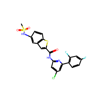 CS(=O)(=O)Nc1ccc2sc(C(=O)Nc3cc(Cl)cc(-c4ccc(F)cc4F)n3)cc2c1